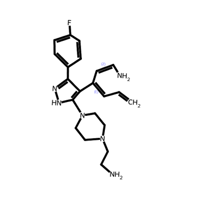 C=C/C=C(\C=C/N)c1c(-c2ccc(F)cc2)n[nH]c1N1CCN(CCN)CC1